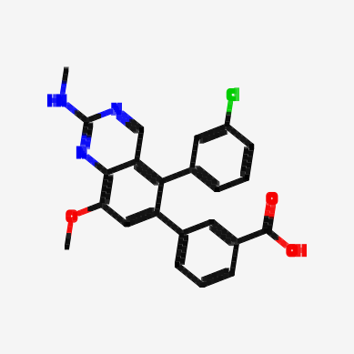 CNc1ncc2c(-c3cccc(Cl)c3)c(-c3cccc(C(=O)O)c3)cc(OC)c2n1